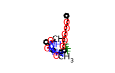 C[CH]C(=O)N[C@H](C(=O)N1CCN(C(=O)c2cc3c(OCCOCCOCCOCCOCc4ccccc4)c(F)c(F)cc3n2C)CC1)C1CCCCC1